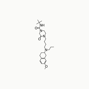 CCCN(CCCCN1CCN(C(=O)NC(C)(C)C)CC1=O)C1CCc2ccc(OC)cc2C1